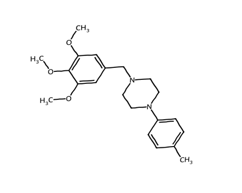 COc1cc(CN2CCN(c3ccc(C)cc3)CC2)cc(OC)c1OC